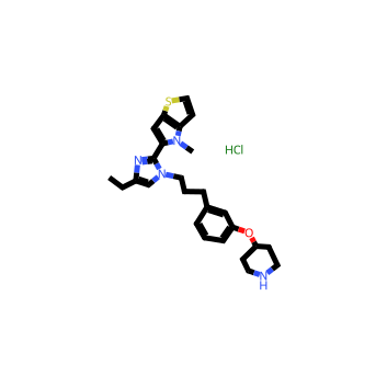 CCc1cn(CCCc2cccc(OC3CCNCC3)c2)c(-c2cc3sccc3n2C)n1.Cl